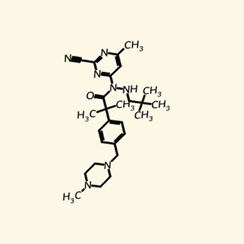 Cc1cc(N(NCC(C)(C)C)C(=O)C(C)(C)c2ccc(CN3CCN(C)CC3)cc2)nc(C#N)n1